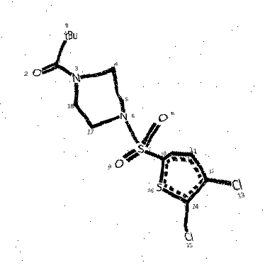 CC(C)(C)C(=O)N1CCN(S(=O)(=O)c2cc(Cl)c(Cl)s2)CC1